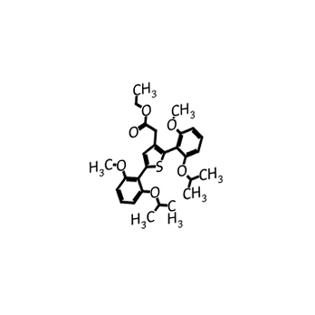 CCOC(=O)Cc1cc(-c2c(OC)cccc2OC(C)C)sc1-c1c(OC)cccc1OC(C)C